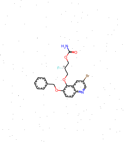 NC(=O)OC[C@@H](F)COc1c(OCc2ccccc2)ccc2ncc(Br)cc12